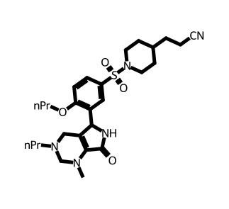 CCCOc1ccc(S(=O)(=O)N2CCC(CCC#N)CC2)cc1C1NC(=O)C2=C1CN(CCC)CN2C